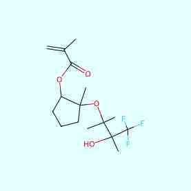 C=C(C)C(=O)OC1CCCC1(C)OC(C)(C)C(C)(O)C(F)(F)F